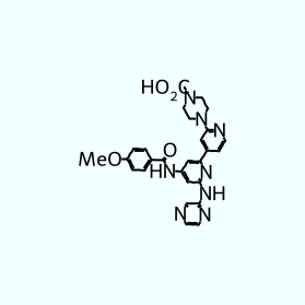 COc1ccc(C(=O)Nc2cc(Nc3cnccn3)nc(-c3ccnc(N4CCN(C(=O)O)CC4)c3)c2)cc1